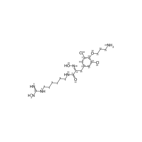 N=C(N)NCCCCCCNC(=O)C(Cc1cc(Cl)c(OCCCN)c(Cl)c1)=NO